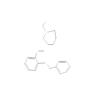 C[C](C)CN1CCC[C@H](COc2ccccc2OCc2ccccc2)C1